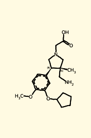 COc1ccc([C@H]2CN(CC(=O)O)C[C@]2(C)CN)cc1OC1CCCC1